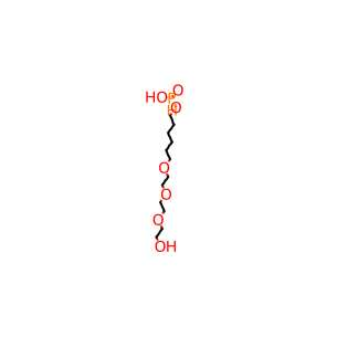 O=[PH](O)OCCCCCCOCCOCCOCCO